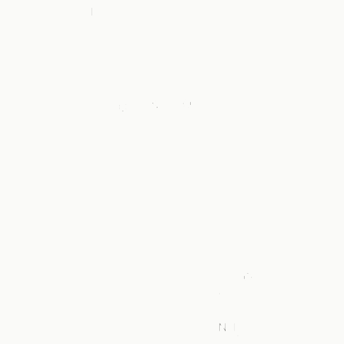 NC(=O)CCc1cccc2cc(S(=O)(=O)c3cccc(F)c3)ccc12